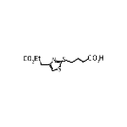 CCOC(=O)Cc1csc(SCCCC(=O)O)n1